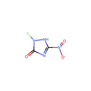 O=c1nc([N+](=O)[O-])[nH]n1F